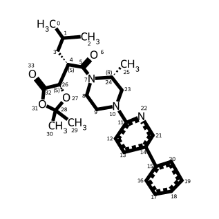 CC(C)C[C@H](C(=O)N1CCN(c2ccc(-c3ccccc3)cn2)C[C@H]1C)[C@@H]1OC(C)(C)OC1=O